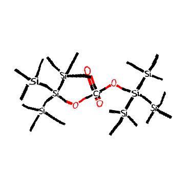 C[Si](C)(C)[Si]([O][Cr](=[O])(=[O])[O][Si]([Si](C)(C)C)([Si](C)(C)C)[Si](C)(C)C)([Si](C)(C)C)[Si](C)(C)C